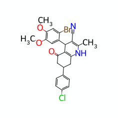 COc1cc(Br)c(C2C(C#N)=C(C)NC3=C2C(=O)CC(c2ccc(Cl)cc2)C3)cc1OC